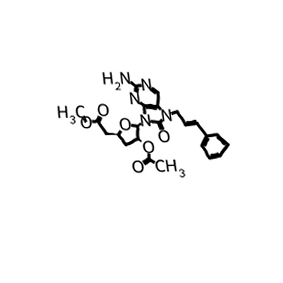 COC(=O)C[C@@H]1C[C@@H](OC(C)=O)[C@H](n2c(=O)n(C/C=C/c3ccccc3)c3cnc(N)nc32)O1